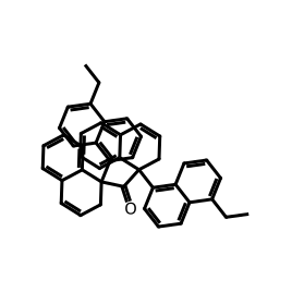 CCc1cccc2c(C3(C(=O)C4(c5cccc6c(CC)cccc56)CC=Cc5ccccc54)CC=Cc4ccccc43)cccc12